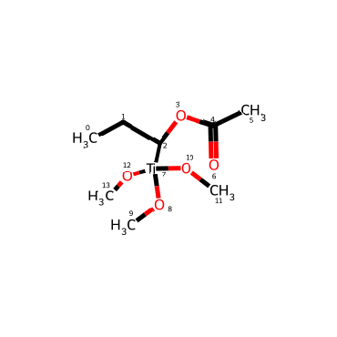 CC[CH](OC(C)=O)[Ti]([O]C)([O]C)[O]C